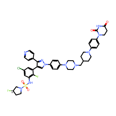 O=C1CCN(c2ccc(N3CCC(CN4CCN(c5ccc(-n6cc(-c7cc(Cl)cc(NS(=O)(=O)N8CC[C@@H](F)C8)c7F)c(-c7ccncc7)n6)cc5)CC4)CC3)cc2)C(=O)N1